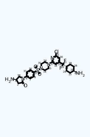 N[C@@H]1CC(=O)N(c2ccc(S(=O)(=O)N3CCN(c4cc(C(F)(F)[C@H]5CC[C@H](N)CC5)cc(Cl)n4)CC3)cc2)C1